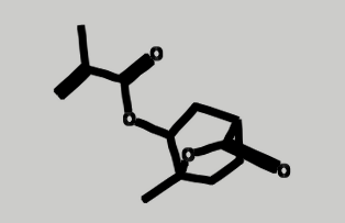 C=C(C)C(=O)OC1CC2CCC1(C)OC2=O